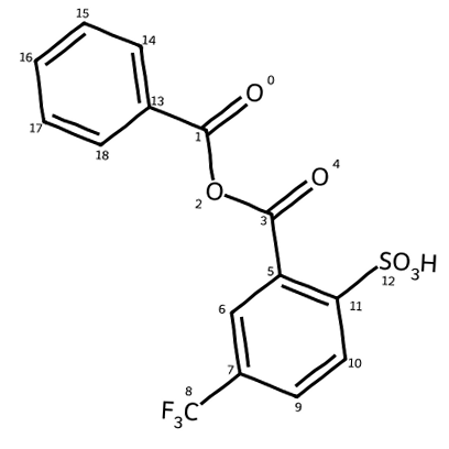 O=C(OC(=O)c1cc(C(F)(F)F)ccc1S(=O)(=O)O)c1ccccc1